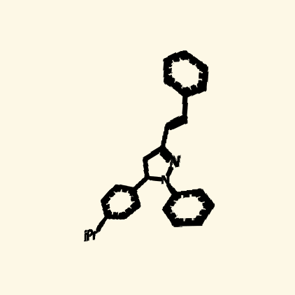 CC(C)c1ccc(C2CC(C=Cc3ccccc3)=NN2c2ccccc2)cc1